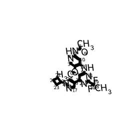 COc1cnc(NC(C)=O)cc1Nc1cc(-c2cnn(C3CCC3)c2)nc(C(C)(F)F)n1